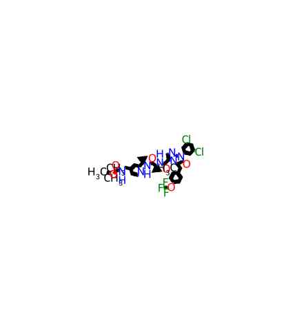 CC(C)(C)OC(=O)NCc1ccnc(C2(NC(=O)C3(NC(=O)c4cnc5n4[C@](C)(Cc4ccc(OC(F)(F)F)cc4)C(=O)N5c4cc(Cl)cc(Cl)c4)CC3)CC2)c1